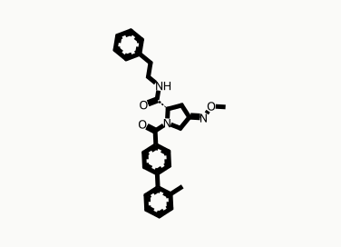 CO/N=C1\C[C@@H](C(=O)NCCc2ccccc2)N(C(=O)c2ccc(-c3ccccc3C)cc2)C1